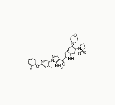 Cc1cc(Oc2ccccc2F)ncc1-n1ncc(C(=O)c2cc3cc(N4CCOCC4)c(N4CCCS4(=O)=O)cc3[nH]2)c1N